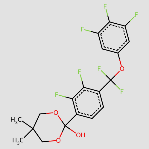 CC1(C)COC(O)(c2ccc(C(F)(F)Oc3cc(F)c(F)c(F)c3)c(F)c2F)OC1